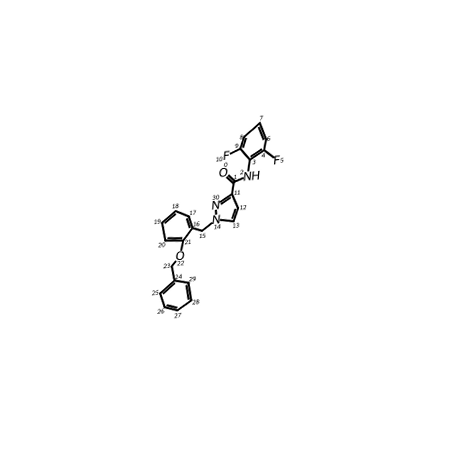 O=C(Nc1c(F)cccc1F)c1ccn(Cc2ccccc2OCc2ccccc2)n1